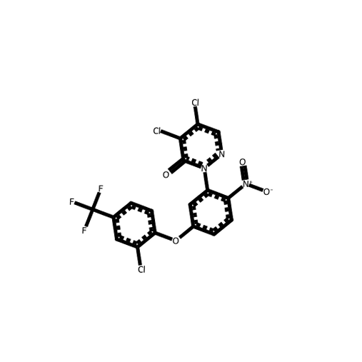 O=c1c(Cl)c(Cl)cnn1-c1cc(Oc2ccc(C(F)(F)F)cc2Cl)ccc1[N+](=O)[O-]